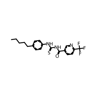 CCCCCc1ccc(NC(=S)NC(=O)c2ccc(C(F)(F)F)nc2)cc1